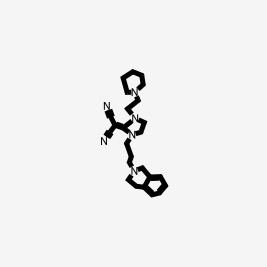 N#CC(C#N)=C1N(CCCN2CCc3ccccc3C2)CCN1CCN1CCCCC1